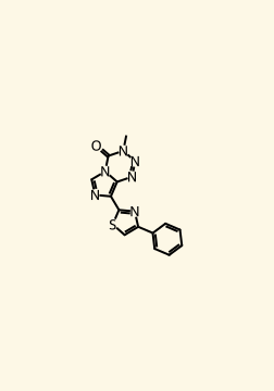 Cn1nnc2c(-c3nc(-c4ccccc4)cs3)ncn2c1=O